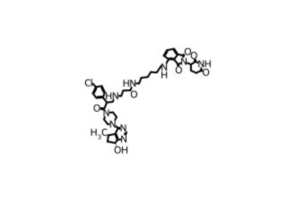 C[C@@H]1C[C@@H](O)c2ncnc(N3CCN(C(=O)C(CNCCC(=O)NCCCCCCNc4cccc5c4C(=O)N(C4CCC(=O)NC4=O)C5=O)c4ccc(Cl)cc4)CC3)c21